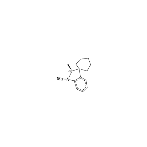 C[C@@H]1N(C(C)(C)C)c2ccccc2C12CCCCC2